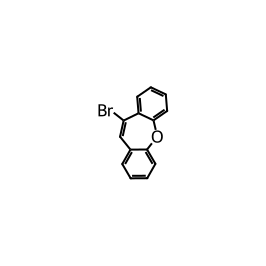 BrC1=Cc2ccccc2Oc2ccccc21